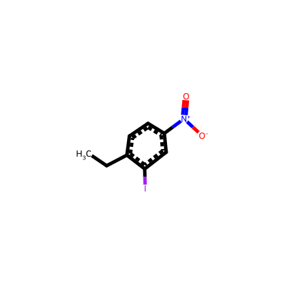 CCc1ccc([N+](=O)[O-])cc1I